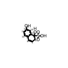 O=S(=O)(O)C1(O)CC=Cc2ccc(O)cc21